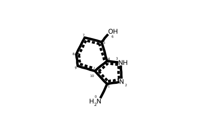 Nc1n[nH]c2c(O)cccc12